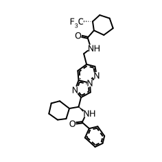 O=C(N[C@H](c1cn2ncc(CNC(=O)C3CCCC[C@H]3C(F)(F)F)cc2n1)C1CCCCC1)c1ccccc1